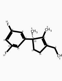 CCC1=C(C)[C@](C)(c2cc(F)cc(F)c2)CC1